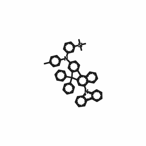 Cc1ccc(N(c2cccc([Si](C)(C)C)c2)c2ccc3c(c2)C(c2ccccc2)(c2ccccc2)c2cc(-n4c5ccccc5c5ccccc54)c4ccccc4c2-3)cc1